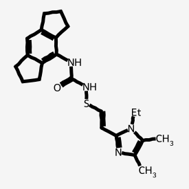 CCn1c(/C=C/SNC(=O)Nc2c3c(cc4c2CCC4)CCC3)nc(C)c1C